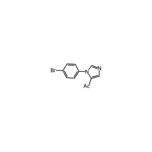 CC(=O)c1cncn1-c1ccc(Br)cc1